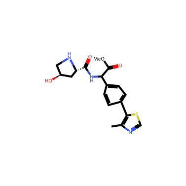 COC(=O)C(NC(=O)[C@@H]1C[C@@H](O)CN1)c1ccc(-c2scnc2C)cc1